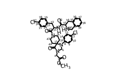 COC(=O)CN1CN(c2ccc(Cl)cc2)C2(CCN(C(=O)C(Cc3ccc(Cl)cc3)NC(=O)C3Cc4ccccc4CN3)CC2)C1=O